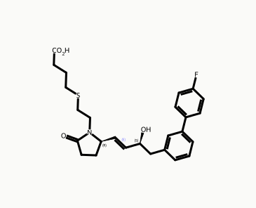 O=C(O)CCCSCCN1C(=O)CC[C@@H]1/C=C/[C@@H](O)Cc1cccc(-c2ccc(F)cc2)c1